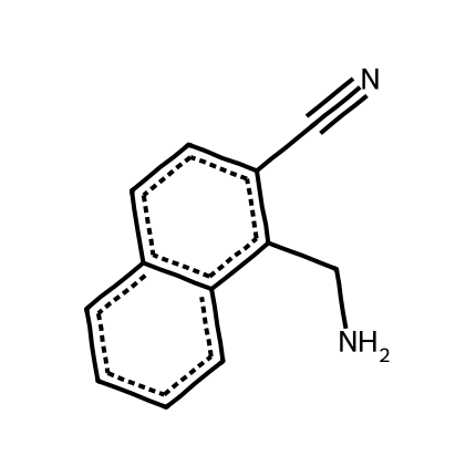 N#Cc1ccc2ccccc2c1CN